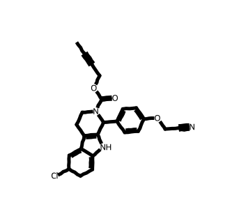 CC#CCOC(=O)N1CCc2c([nH]c3c2=CC(Cl)CC=3)C1c1ccc(OCC#N)cc1